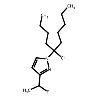 CCCCCC(C)(CCCC)n1ccc(C(C)F)n1